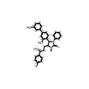 CN1C(=S)N(c2ccccc2)C(c2ccc(-c3cccc(O)c3)cc2O)C1CCC(O)c1ccc(F)cc1